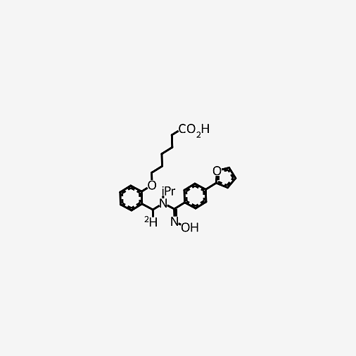 [2H]C(c1ccccc1OCCCCCC(=O)O)N(/C(=N/O)c1ccc(-c2ccco2)cc1)C(C)C